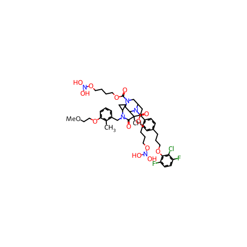 COCCOc1cccc(CN(C(=O)C2(C)C(c3ccc(CCCOc4c(F)ccc(F)c4Cl)cc3)CC3CN(C(=O)OCCCCON(O)O)CC2N3C(=O)OCCCCON(O)O)C2CC2)c1C